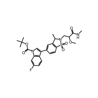 CNC(=O)C(CN1C(C)c2cc(-c3cn(C(=O)OC(C)(C)C)c4cc(F)ccc34)ccc2S1(=O)=O)OC